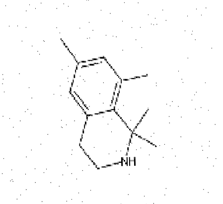 Cc1cc(C)c2c(c1)CCNC2(C)C